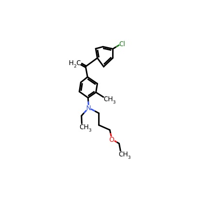 C=C(c1ccc(Cl)cc1)c1ccc(N(CC)CCCOCC)c(C)c1